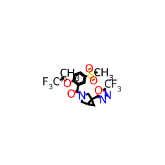 C[C@@H](Oc1ccc(S(C)(=O)=O)cc1C(=O)N1CC2CC2(c2nnc(C(F)(F)F)o2)C1)C(F)(F)F